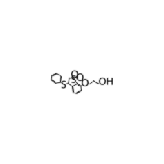 O=S1(=O)CC(Sc2ccccc2)c2cccc(OCCCO)c21